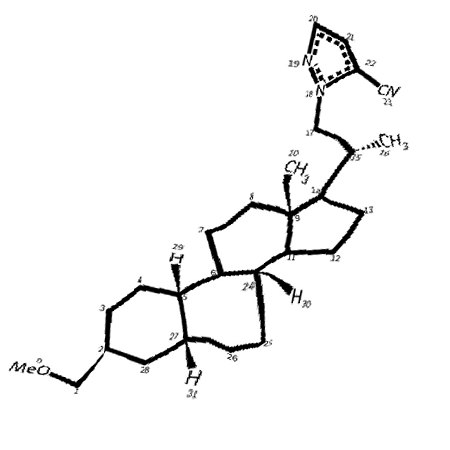 COC[C@H]1CC[C@@H]2C3CC[C@@]4(C)C(CCC4[C@@H](C)Cn4nccc4C#N)[C@@H]3CC[C@@H]2C1